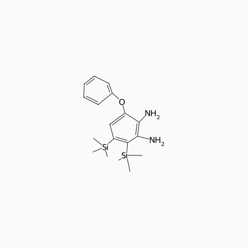 C[Si](C)(C)c1cc(Oc2ccccc2)c(N)c(N)c1[Si](C)(C)C